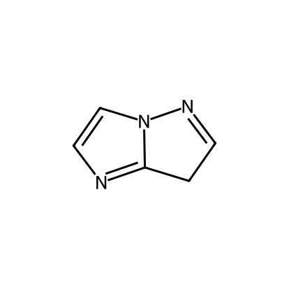 C1=Nn2ccnc2C1